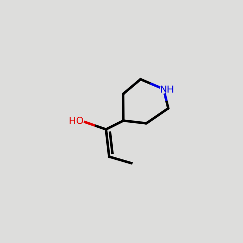 C/C=C(/O)C1CCNCC1